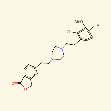 COc1c(C#N)ccc(CCN2CCN(CCc3ccc4c(c3)COC4=O)CC2)c1Cl